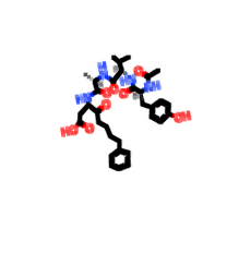 CC(=O)N[C@@H](Cc1ccc(O)cc1)C(=O)N[C@H](C(=O)N[C@@H](C)C(=O)NC(CC(=O)O)C(=O)CCCCc1ccccc1)C(C)C